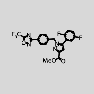 COC(=O)c1cc(-c2cc(F)ccc2F)n(Cc2ccc(-c3noc(C(F)(F)F)n3)cc2)n1